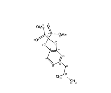 COC(=O)C1(C(=O)OC)Oc2ccc(C[C@H](C)Cl)cc2O1